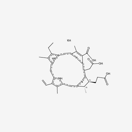 C=Cc1c(C)c2cc3nc(c(CC(=O)O)c4nc(cc5[nH]c(cc1[nH]2)c(C)c5CC)C(C)=C4C(=O)O)[C@@H](CCC(=O)O)[C@@H]3C.[KH]